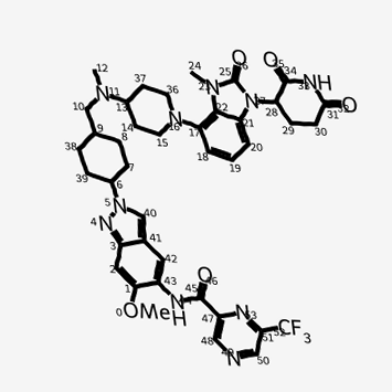 COc1cc2nn(C3CCC(CN(C)C4CCN(c5cccc6c5n(C)c(=O)n6C5CCC(=O)NC5=O)CC4)CC3)cc2cc1NC(=O)c1cncc(C(F)(F)F)n1